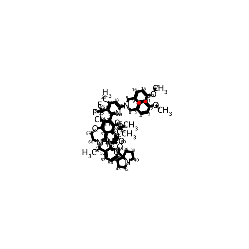 COc1ccc(CN(Cc2ccc(OC)cc2)c2cc(C)c(C(F)(F)F)c(-c3c(Cl)c4c5c(nc(OCC67CCCN6CCC7)nc5c3F)N([C@H](C)c3cccnc3NC(=O)OC(C)(C)C)CCO4)n2)cc1